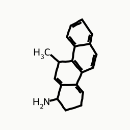 CC1C=C2C(=CCCC2N)c2ccc3ccccc3c21